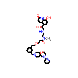 CN(CCNCC(O)c1ccc(O)c2[nH]c(=O)ccc12)C(=O)CCOCCc1cccc(CN2CCC3(CC2)CN(c2ccccn2)CCO3)c1